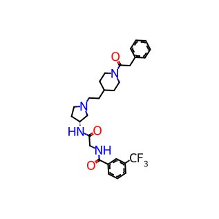 O=C(CNC(=O)c1cccc(C(F)(F)F)c1)N[C@@H]1CCN(CCC2CCN(C(=O)Cc3ccccc3)CC2)C1